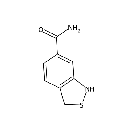 NC(=O)c1ccc2c(c1)NSC2